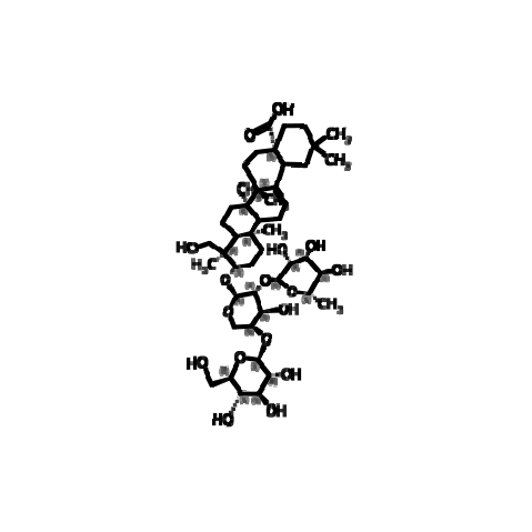 C[C@@H]1O[C@@H](O[C@H]2[C@H](O[C@H]3CC[C@@]4(C)C(CC[C@]5(C)C4CC=C4C6CC(C)(C)CC[C@]6(C(=O)O)CC[C@]45C)[C@]3(C)CO)OC[C@H](O[C@@H]3O[C@H](CO)[C@@H](O)[C@H](O)[C@H]3O)[C@@H]2O)[C@H](O)[C@H](O)[C@H]1O